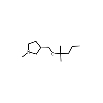 CCCC(C)(C)OC[C@H]1CCN(C)C1